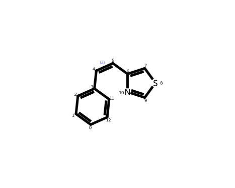 [c]1ccc(/C=C\c2cscn2)cc1